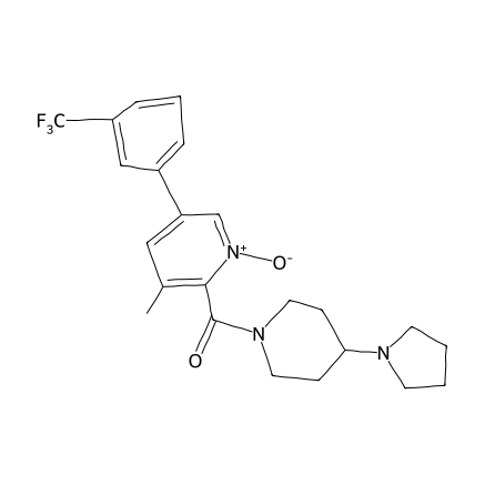 Cc1cc(-c2cccc(C(F)(F)F)c2)c[n+]([O-])c1C(=O)N1CCC(N2CCCC2)CC1